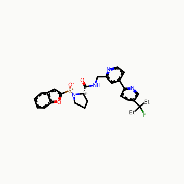 CCC(F)(CC)c1ccc(-c2ccnc(CNC(=O)[C@@H]3CCCN3[S+]([O-])c3cc4ccccc4o3)c2)nc1